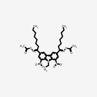 CCCCCCC/C(=N\OC(C)=O)c1cc([N+](=O)[O-])c2c(c1)c1cc(/C(CCCCCCC)=N/OC(C)=O)cc([N+](=O)[O-])c1n2CC